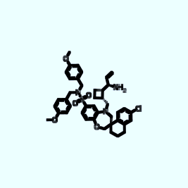 C=C[C@@H](N)[C@@H]1CC[C@H]1CN1C[C@@]2(CCCc3cc(Cl)ccc32)COc2ccc(S(=O)(=O)N(Cc3ccc(OC)cc3)Cc3ccc(OC)cc3)cc21